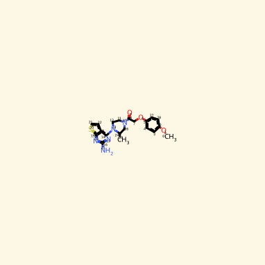 COc1ccc(OCC(=O)N2CCN(c3nc(N)nc4sccc34)C(C)C2)cc1